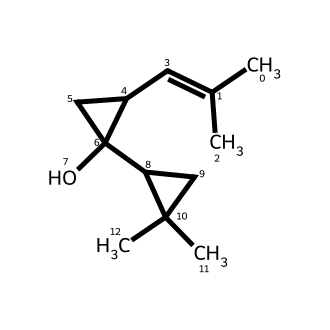 CC(C)=CC1CC1(O)C1CC1(C)C